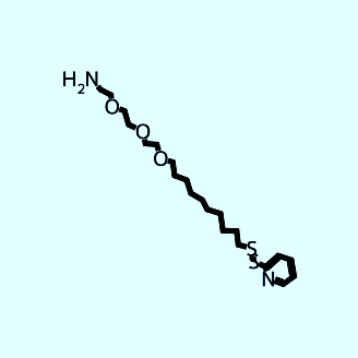 NCCOCCOCCOCCCCCCCCCCSSc1ccccn1